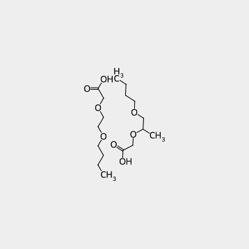 CCCCOCC(C)OCC(=O)O.CCCCOCCOCC(=O)O